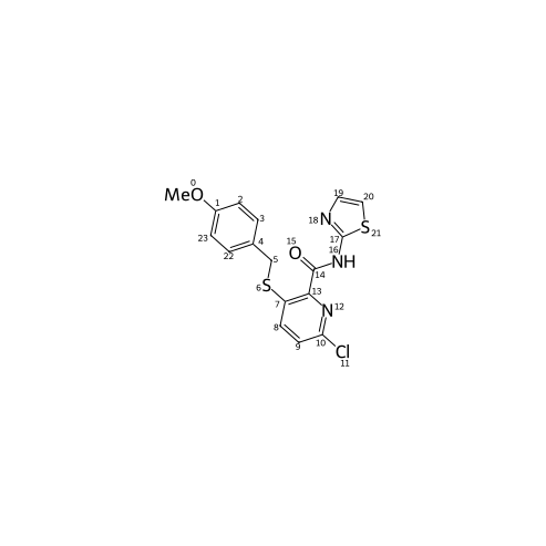 COc1ccc(CSc2ccc(Cl)nc2C(=O)Nc2nccs2)cc1